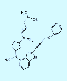 C=C(/C=C/CN(C)C)N1CCC(N(C)c2ncnc3[nH]c(C#CCOc4ccccc4)cc23)C1